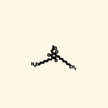 CCCCCCCCn1c(=O)n(CCCCCCCC)c(=O)n(CC2CO2)c1=O